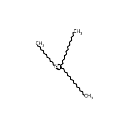 CCCCCCCCCCCCCCCc1cc[n+](CCCCCCCCCCCC)cc1CCCCCCCCCCCCCCC